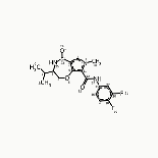 CC(C)C1COc2c(cn(C)c2C(=O)Nc2ccc(F)c(F)c2)[S+]([O-])N1